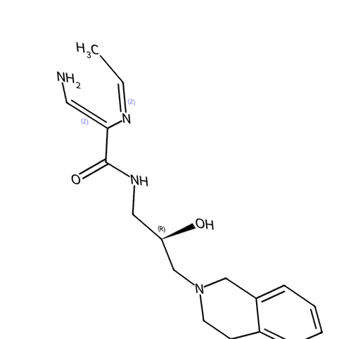 C/C=N\C(=C/N)C(=O)NC[C@@H](O)CN1CCc2ccccc2C1